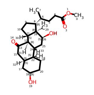 COC(=O)CCC(C)[C@H]1CC[C@H]2[C@@H]3C(=O)C[C@@H]4C[C@H](O)CC[C@]4(C)[C@H]3C[C@H](O)[C@]12C